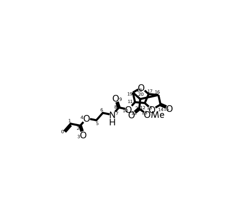 C=CC(=O)OCCNC(=O)OC1C2OC(=O)C3C2OC1C3C(=O)OC